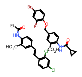 CCC(=O)Nc1ccc(C=Cc2ccc(Cl)cc2Cl)cc1C(=O)O.O=C(O)c1cc(COc2ccc(Br)cc2Br)ccc1NC(=O)C1CC1